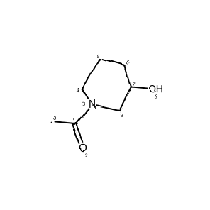 [CH2]C(=O)N1CCCC(O)C1